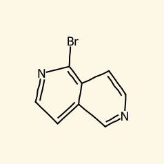 Brc1nccc2cnccc12